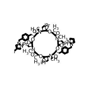 CC(C)C[C@H]1C(=O)O[C@H](Cc2ccc(Cn3cc(I)cn3)cc2)C(=O)N(C)[C@@H](CC(C)C)C(=O)O[C@H](C)C(=O)N(C)[C@@H](CC(C)C)C(=O)O[C@H](Cc2ccc(Cn3cccn3)cc2)C(=O)N(C)[C@@H](CC(C)C)C(=O)O[C@H](C)C(=O)N1C